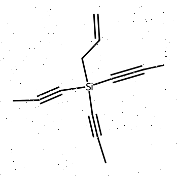 C=CC[Si](C#CC)(C#CC)C#CC